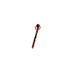 CCCCCCCCCCCCCCCCCCCCCC=CCCC(=O)Oc1ccccc1